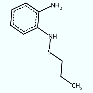 CCCSNc1ccccc1N